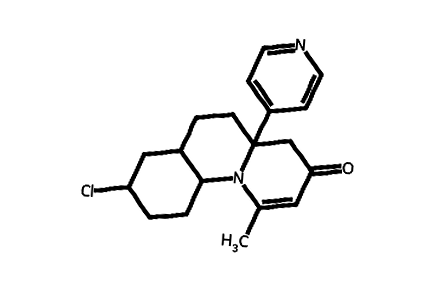 CC1=CC(=O)CC2(c3ccncc3)CCC3CC(Cl)CCC3N12